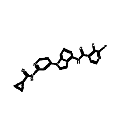 O=C(Nc1cccc2c1ccn2-c1ccnc(NC(=O)C2CC2)c1)c1ccnc(F)c1F